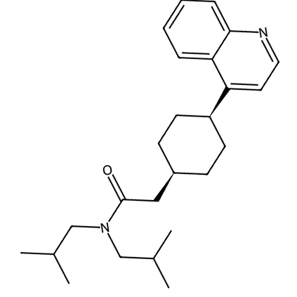 CC(C)CN(CC(C)C)C(=O)C[C@H]1CC[C@@H](c2ccnc3ccccc32)CC1